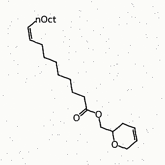 CCCCCCCC/C=C\CCCCCCCC(=O)OCC1CC=CCO1